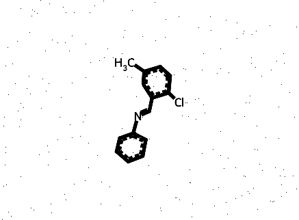 Cc1ccc(Cl)c(C=Nc2ccccc2)c1